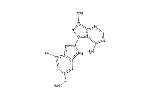 COCc1cc(Cl)c2cc(-c3nn(C(C)(C)C)c4ncnc(N)c34)[nH]c2c1